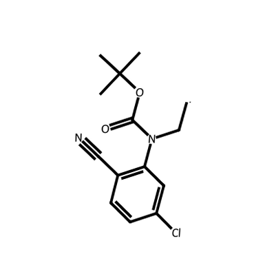 [CH2]CN(C(=O)OC(C)(C)C)c1cc(Cl)ccc1C#N